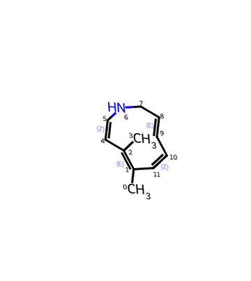 CC1=C(C)\C=C/NC/C=C/C=C\1